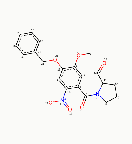 COc1cc(C(=O)N2CCCC2C=O)c([N+](=O)[O-])cc1OCc1ccccc1